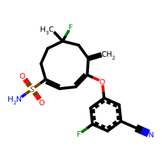 C=C1CC(C)(F)CC/C(S(N)(=O)=O)=C\C=C/1Oc1cc(F)cc(C#N)c1